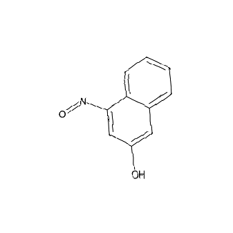 O=Nc1cc(O)cc2ccccc12